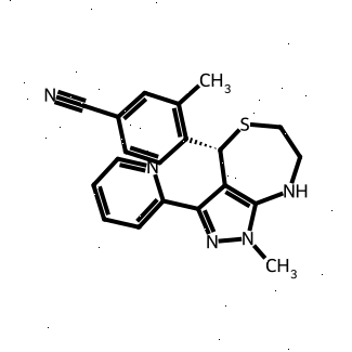 Cc1cc(C#N)ccc1[C@@H]1SCCNc2c1c(-c1ccccn1)nn2C